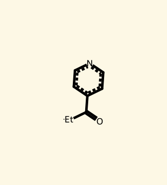 C[CH]C(=O)c1ccncc1